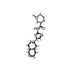 CN1CCCC(C(=O)Nc2ncc(-c3ccc4cnccc4c3)s2)C1